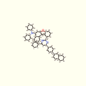 c1ccc(-c2cc(-c3ccc(-c4ccc5ccccc5c4)cc3)nc(-c3cccc4oc5cc(N(c6ccccc6)c6ccccc6)c6ccccc6c5c34)n2)cc1